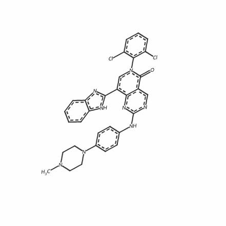 CN1CCN(c2ccc(Nc3ncc4c(=O)n(-c5c(Cl)cccc5Cl)cc(-c5nc6ccccc6[nH]5)c4n3)cc2)CC1